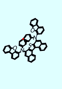 c1ccc(N(c2cccc3c2oc2ccccc23)c2cc3ccccc3c3c2sc2c(N(c4ccccc4)c4cccc5c4oc4ccccc45)cc4ccccc4c23)cc1